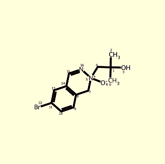 CC(C)(O)C[N+]1([O-])Cc2ccc(Br)cc2C=N1